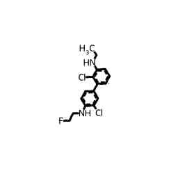 CCNc1cc[c]c(-c2ccc(NCCF)c(Cl)c2)c1Cl